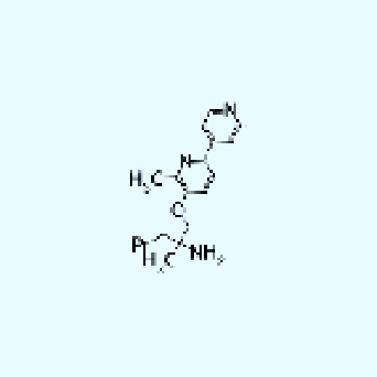 Cc1nc(-c2c[c]ncc2)ccc1OCC(C)(N)CC(C)C